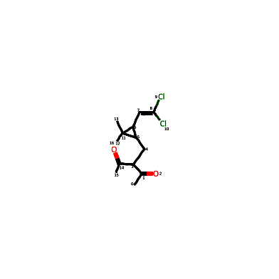 CC(=O)C(CC1C(C=C(Cl)Cl)C1(C)C)C(C)=O